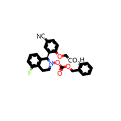 N#Cc1ccc(OCC(=O)O)c([C@@H]2c3cccc(F)c3CCN2OC(=O)OCc2ccccc2)c1